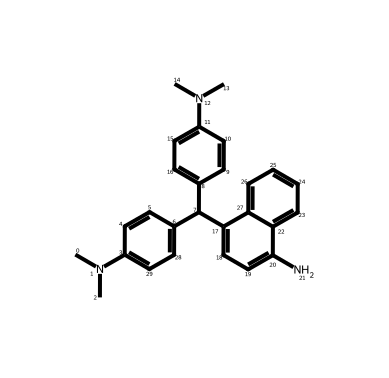 CN(C)c1ccc(C(c2ccc(N(C)C)cc2)c2ccc(N)c3ccccc23)cc1